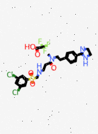 CN(CCc1ccc(C2=NCCN2)cc1)C(=O)CCNCS(=O)(=O)c1cc(Cl)cc(Cl)c1.O=C(O)C(F)(F)F